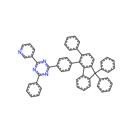 c1ccc(-c2nc(-c3ccc(-c4c(-c5ccccc5)ccc5c4-c4ccccc4C5(c4ccccc4)c4ccccc4)cc3)nc(-c3cccnc3)n2)cc1